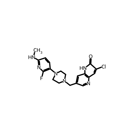 CNc1ccc(N2CCN(Cc3cnc4cc(Cl)c(=O)[nH]c4c3)CC2)c(F)n1